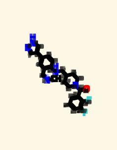 C/N=C\c1cc(-c2cn[nH]c2)ccc1NCC1CCN(C(=O)c2cccc(F)c2F)CC1